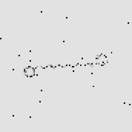 C(=CCCc1ccccc1)CCCCCCCOC1CCCCO1